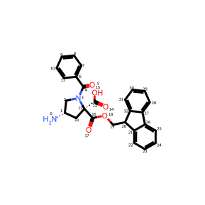 N[C@@H]1CN(C(=O)c2ccccc2)[C@@](C(=O)O)(C(=O)OCC2c3ccccc3-c3ccccc32)C1